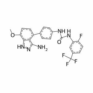 COc1ccc(-c2ccc(NC(=O)Nc3cc(C(F)(F)F)ccc3F)cc2)c2c(N)n[nH]c12